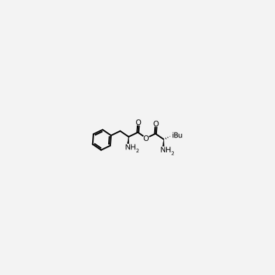 CC[C@@H](C)[C@@H](N)C(=O)OC(=O)[C@@H](N)Cc1ccccc1